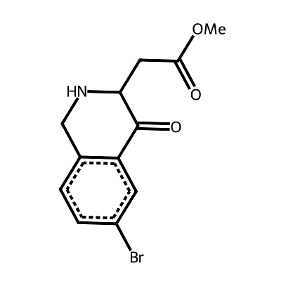 COC(=O)CC1NCc2ccc(Br)cc2C1=O